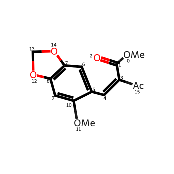 COC(=O)C(=Cc1cc2c(cc1OC)OCO2)C(C)=O